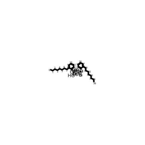 CCCCCCCCc1ccccc1OP(=O)(O)OP(=O)(O)Oc1ccccc1CCCCCCCC